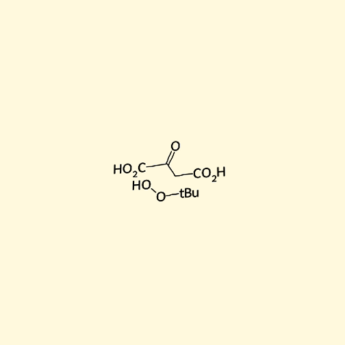 CC(C)(C)OO.O=C(O)CC(=O)C(=O)O